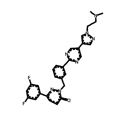 CN(C)CCn1cc(-c2cnc(-c3cccc(Cn4nc(-c5cc(F)cc(F)c5)ccc4=O)c3)nc2)cn1